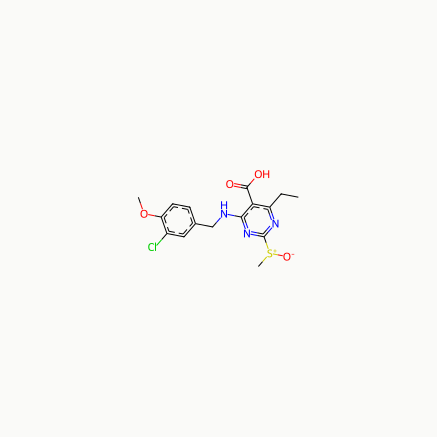 CCc1nc([S+](C)[O-])nc(NCc2ccc(OC)c(Cl)c2)c1C(=O)O